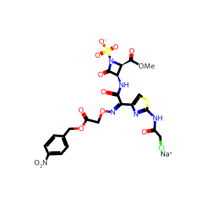 COC(=O)[C@H]1[C@@H](NC(=O)/C(=N\OCC(=O)OCc2ccc([N+](=O)[O-])cc2)c2csc(NC(=O)CCl)n2)C(=O)N1S(=O)(=O)[O-].[Na+]